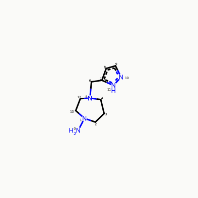 NN1CCCN(Cc2ccn[nH]2)CC1